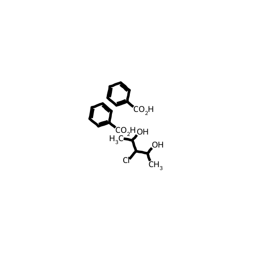 CC(O)C(Cl)C(C)O.O=C(O)c1ccccc1.O=C(O)c1ccccc1